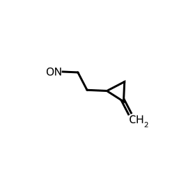 C=C1CC1CCN=O